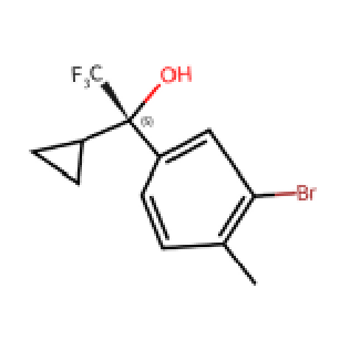 Cc1ccc([C@@](O)(C2CC2)C(F)(F)F)cc1Br